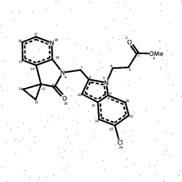 COC(=O)CCn1c(CN2C(=O)C3(CC3)c3cccnc32)cc2cc(Cl)ccc21